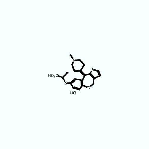 CC(Sc1ccc2c(c1)C(=C1CCN(C)CC1)c1sccc1CO2)C(=O)O.Cl